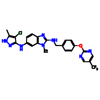 CCn1c(NCc2ccc(Oc3ncc(C(F)(F)F)cn3)cc2)nc2ccc(Nc3n[nH]c(C)c3Cl)cc21